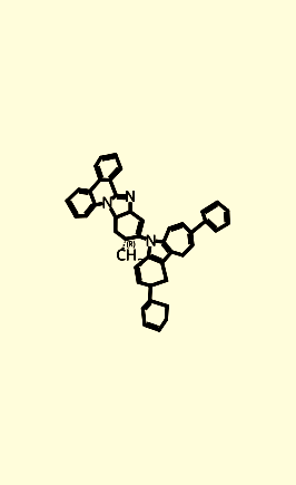 C[C@@H]1CC2C(C=C1n1c3c(c4c1C=CC(C1=CC=CCC1)C4)CC=C(c1ccccc1)C=C3)N=C1c3ccccc3-c3ccccc3N12